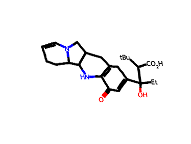 CCC(O)(C1=CC(=O)C2=C(C1)CC1CN3C=CCCC3C1N2)C(C(=O)O)C(C)(C)C